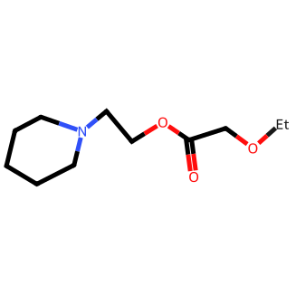 CCOCC(=O)OCCN1CCCCC1